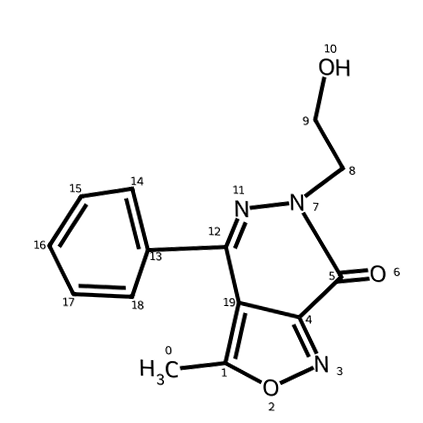 Cc1onc2c(=O)n(CCO)nc(-c3ccccc3)c12